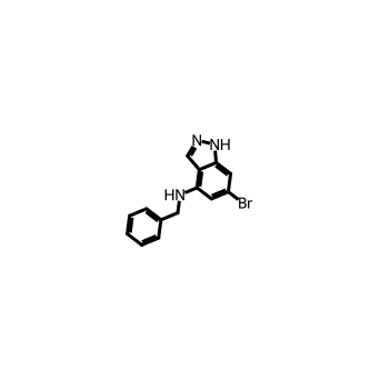 Brc1cc(NCc2ccccc2)c2cn[nH]c2c1